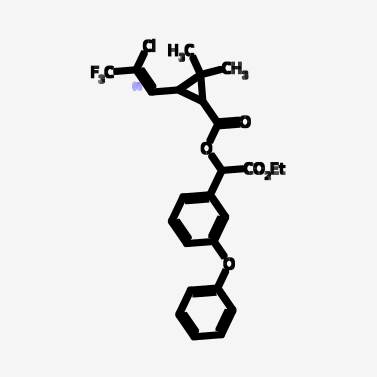 CCOC(=O)C(OC(=O)C1C(/C=C(\Cl)C(F)(F)F)C1(C)C)c1cccc(Oc2ccccc2)c1